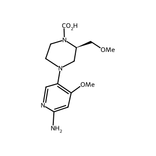 COC[C@H]1CN(c2cnc(N)cc2OC)CCN1C(=O)O